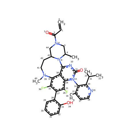 C=CC(=O)N1CC(C)N2c3nc(=O)n(-c4c(C)ccnc4C(C)C)c4c(F)c(-c5ccccc5O)c(F)c(c34)N(C)CCC2C1